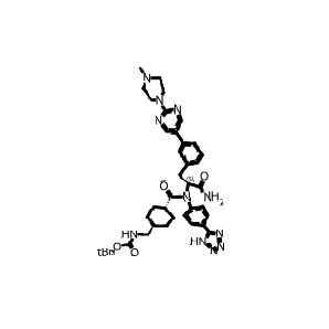 CN1CCN(c2ncc(-c3cccc(C[C@@H](C(N)=O)N(c4ccc(-c5nnn[nH]5)cc4)C(=O)[C@H]4CC[C@H](CNC(=O)OC(C)(C)C)CC4)c3)cn2)CC1